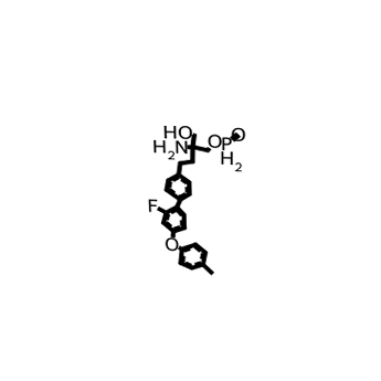 Cc1ccc(Oc2ccc(-c3ccc(CCC(N)(CO)CO[PH2]=O)cc3)c(F)c2)cc1